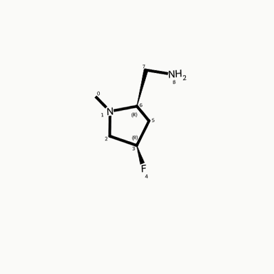 CN1C[C@H](F)C[C@@H]1CN